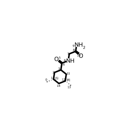 C[C@@H]1CC(C(=O)NCC(N)=O)C[C@H](C)C1